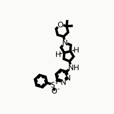 CC1(C)CC(N2C[C@H]3CC(Nc4ccc([S+]([O-])c5ccccc5)nn4)C[C@H]3C2)CCO1